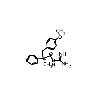 COc1ccc(C[C@@](C)(C(=O)NC(=N)N)c2ccccc2)cc1